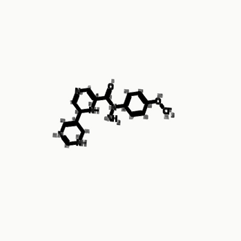 NN(C(=O)C1=CN=CC(C2=CN=CNC2)N1)c1ccc(OC(F)(F)F)cc1